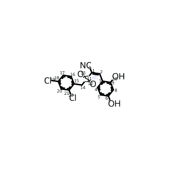 N#C/C(=C/c1ccc(O)cc1O)S(=O)(=O)Cc1ccc(Cl)cc1Cl